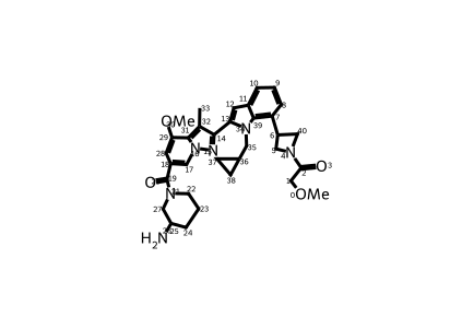 COCC(=O)N1CC(c2cccc3cc(-c4nn5cc(C(=O)N6CCCC(N)C6)cc(OC)c5c4C)n(CC4CC4)c23)C1